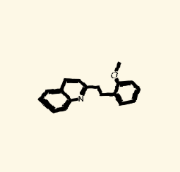 COc1ccccc1CCc1ccc2ccccc2n1